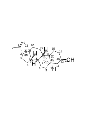 C=C(C)[C@H]1CC[C@H]2[C@@H]3CC[C@@H]4C[C@H](O)CC[C@]4(C)[C@H]3CC[C@]12C